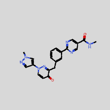 CNC(=O)c1cnc(-c2cccc(Cc3nn(-c4cnn(C)c4)ccc3=O)c2)nc1